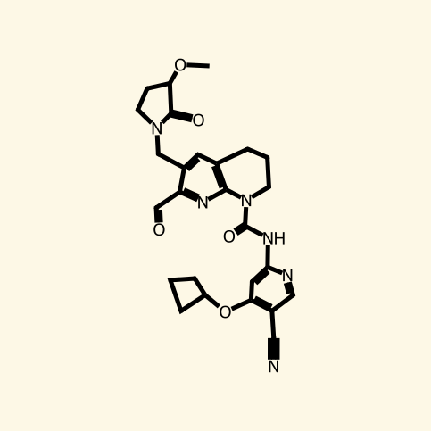 COC1CCN(Cc2cc3c(nc2C=O)N(C(=O)Nc2cc(OC4CCC4)c(C#N)cn2)CCC3)C1=O